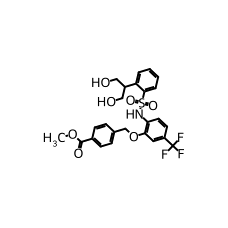 COC(=O)c1ccc(COc2cc(C(F)(F)F)ccc2NS(=O)(=O)c2ccccc2C(CO)CO)cc1